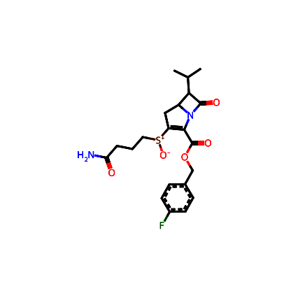 CC(C)C1C(=O)N2C(C(=O)OCc3ccc(F)cc3)=C([S+]([O-])CCCC(N)=O)CC12